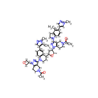 CC(=O)N1CCc2c(c(N3CCC(C4CC(n5nc(N6CCc7c6ccc(-c6cnn(C)c6)c7C)c6c5CCN(C(C)=O)C6)CO4)c4cc(-c5cnn(C)c5C)ccc43)nn2C2COC2)C1